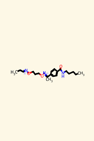 CC/C=N/OCCCO/N=C(\C)c1ccc(C(=O)NCCCCC)cc1